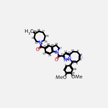 COc1ccc(/C2=C/C=C\CCc3cc(C(=O)N4CCc5cc(C(=O)N6CCCCC(C)CC6)ccc54)nn32)cc1OC